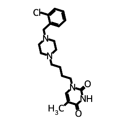 Cc1cn(CCCCN2CCN(Cc3ccccc3Cl)CC2)c(=O)[nH]c1=O